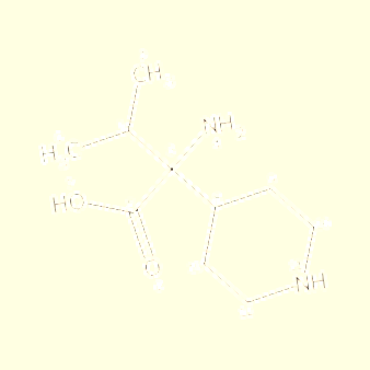 C[C](C)C(N)(C(=O)O)C1CCNCC1